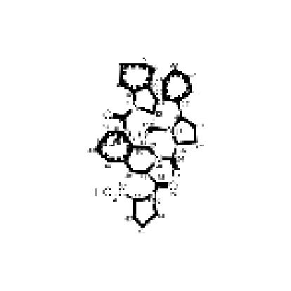 CC(C)(C)OC(=O)N1c2ccccc2C[C@@H]1C(=O)N1[C@@H](c2ccccc2)CC[C@H]1C(=O)N1Cc2ccccc2C[C@@H]1C(=O)N1CCC[C@H]1C(=O)O